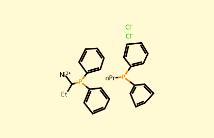 CCCP(c1ccccc1)c1ccccc1.CC[CH]([Ni+2])P(c1ccccc1)c1ccccc1.[Cl-].[Cl-]